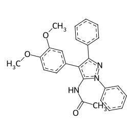 COc1ccc(-c2c(-c3ccccc3)nn(-c3ccccc3)c2NC(C)=O)cc1OC